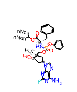 CCCCCCCCCC(CCCCCCCCC)OC(=O)[C@H](Cc1ccccc1)N[P@](=O)(OC[C@@]1(C)C[C@@H](n2cnc3c(N)nc(F)nc32)C[C@@H]1O)Oc1ccccc1